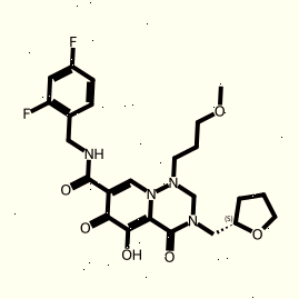 COCCCN1CN(C[C@@H]2CCCO2)C(=O)c2c(O)c(=O)c(C(=O)NCc3ccc(F)cc3F)cn21